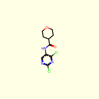 O=C(Nc1cnc(Cl)nc1Cl)C1CCOCC1